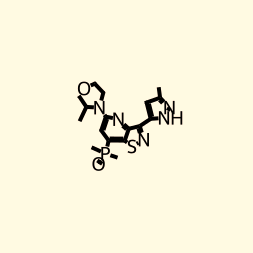 Cc1cc(-c2nsc3c(P(C)(C)=O)cc(N4CCOCC4C)nc23)[nH]n1